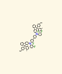 C=Cc1ccc(C2(c3cc(C)ccc3C)c3ccccc3-c3ccc(N(c4ccc(-c5ccc(N(c6ccc7c(c6)C(c6ccc(C=C)cc6)(c6cc(C)ccc6C)c6ccccc6-7)c6cccc(F)c6F)cc5)cc4)c4cccc(F)c4F)cc32)cc1